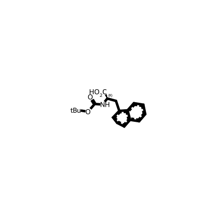 CC(C)(C)OC(=O)N[C@H](Cc1cccc2ccccc12)C(=O)O